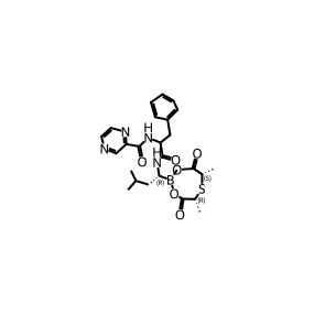 CC(C)C[C@H](NC(=O)C(Cc1ccccc1)NC(=O)c1cnccn1)B1OC(=O)[C@H](C)S[C@H](C)C(=O)O1